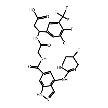 O=C(O)CC(NC(=O)CNC(=O)c1cc(NC2=NCC(F)CN2)c2cn[nH]c2c1)c1cc(Cl)c(F)c(C(F)(F)F)c1